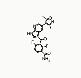 Cc1noc(C)c1-c1cnc2[nH]cc(C(=O)c3c(F)ccc(C(N)=O)c3F)c2c1